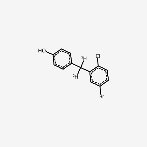 [2H]C([2H])(c1ccc(O)cc1)c1cc(Br)ccc1Cl